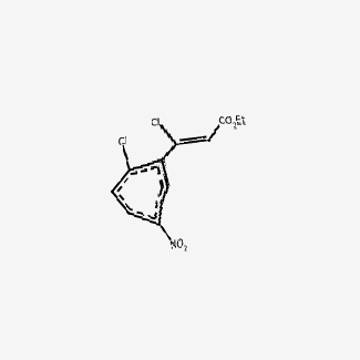 CCOC(=O)C=C(Cl)c1cc([N+](=O)[O-])ccc1Cl